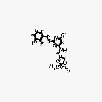 CC1(C)OC[C@H](CNc2cc(Cl)nc(SCc3cccc(F)c3F)n2)O1